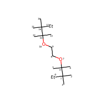 CCC(C)(C)C(C)(C)OCCOC(C)(C)C(C)(C)CC